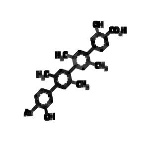 CC(=O)c1ccc(-c2cc(C)c(-c3cc(C)c(-c4ccc(C(=O)O)c(O)c4)cc3C)cc2C)cc1O